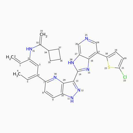 C=C/C(=C\C(=C/C)c1ccc2[nH]nc(-c3nc4c(-c5ccc(Cl)s5)cncc4[nH]3)c2n1)NC(=C)C1CCC1